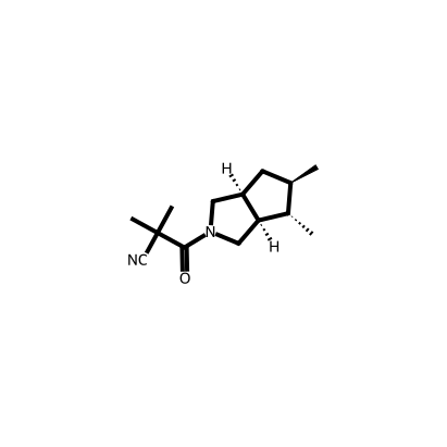 C[C@@H]1[C@H]2CN(C(=O)C(C)(C)C#N)C[C@H]2C[C@H]1C